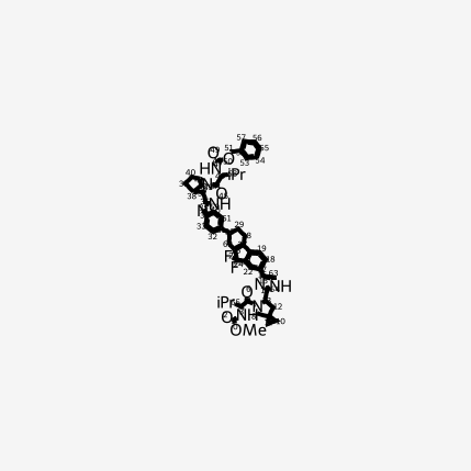 COC(=O)NC(C(=O)N1CC2(CC2)CC1c1nc(-c2ccc3c(c2)C(F)(F)C2=C3CCC(c3ccc4nc(C5C6CCC(C6)N5C(=O)C(NC(=O)OCc5ccccc5)C(C)C)[nH]c4c3)C2)c[nH]1)C(C)C